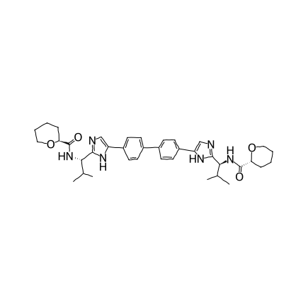 CC(C)[C@H](NC(=O)[C@@H]1CCCCO1)c1ncc(-c2ccc(-c3ccc(-c4cnc([C@@H](NC(=O)[C@H]5CCCCO5)C(C)C)[nH]4)cc3)cc2)[nH]1